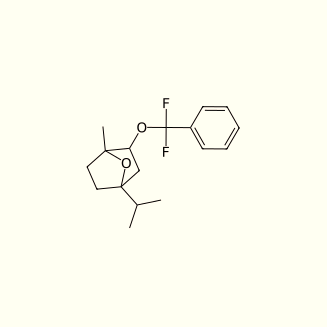 CC(C)C12CCC(C)(O1)C(OC(F)(F)c1ccccc1)C2